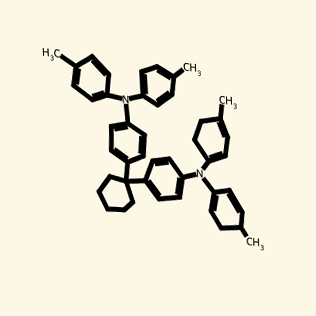 CC1=CC=C(N(C2=CCC(C)C=C2)c2ccc(C3(c4ccc(N(c5ccc(C)cc5)c5ccc(C)cc5)cc4)CCCCC3)cc2)CC1